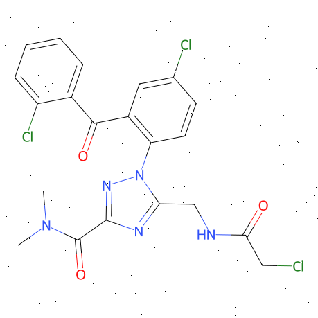 CN(C)C(=O)c1nc(CNC(=O)CCl)n(-c2ccc(Cl)cc2C(=O)c2ccccc2Cl)n1